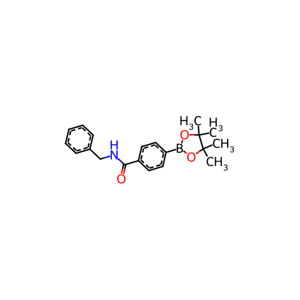 CC1(C)OB(c2ccc(C(=O)NCc3ccccc3)cc2)OC1(C)C